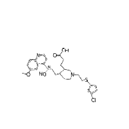 COc1ccc2nccc([C@@H](O)CCC3CCN(CCSc4ccc(Cl)s4)CC3CCC(=O)O)c2c1